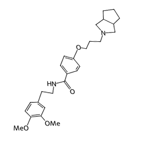 COc1ccc(CCNC(=O)c2ccc(OCCCN3CC4CCCC4C3)cc2)cc1OC